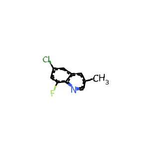 Cc1cnc2c(F)cc(Cl)cc2c1